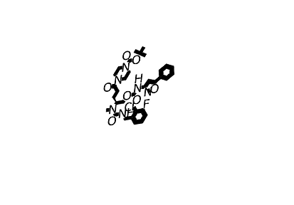 CN(C(=O)NCc1cccc(F)c1Cl)[C@@H](CCC(=O)N1CCN(C(=O)OC(C)(C)C)CC1)COC(=O)Nc1cc(-c2ccccc2)on1